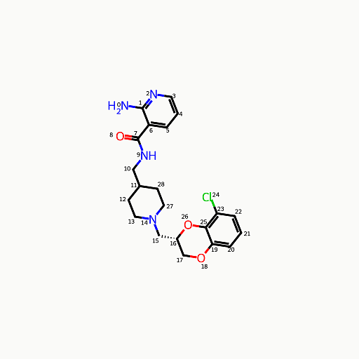 Nc1ncccc1C(=O)NCC1CCN(C[C@H]2COc3cccc(Cl)c3O2)CC1